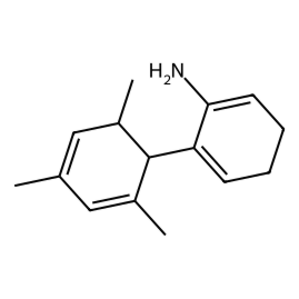 CC1=CC(C)C(C2=CCCC=C2N)C(C)=C1